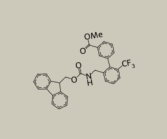 COC(=O)c1cccc(-c2c(CNC(=O)OCC3c4ccccc4-c4ccccc43)cccc2C(F)(F)F)c1